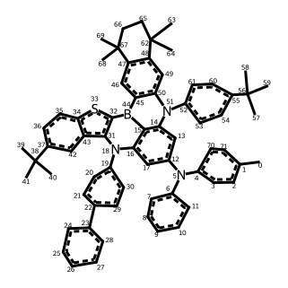 Cc1ccc(N(c2ccccc2)c2cc3c4c(c2)N(c2ccc(-c5ccccc5)cc2)c2c(sc5ccc(C(C)(C)C)cc25)B4c2cc4c(cc2N3c2ccc(C(C)(C)C)cc2)C(C)(C)CCC4(C)C)cc1